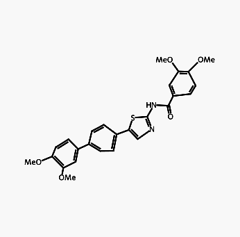 COc1ccc(C(=O)Nc2ncc(-c3ccc(-c4ccc(OC)c(OC)c4)cc3)s2)cc1OC